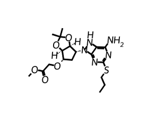 CCCSc1nc(N)c2[nH]n([C@@H]3C[C@H](OCC(=O)OC)[C@H]4OC(C)(C)O[C@H]43)c2n1